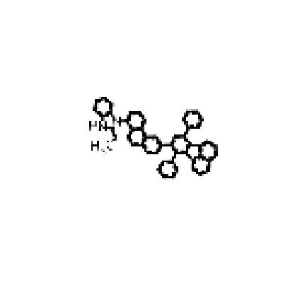 CCC1Nc2ccccc2N1c1cccc2c1ccc1ccc(-c3cc(-c4ccccc4)c4c(c3-c3ccccc3)-c3cccc5cccc-4c35)cc12